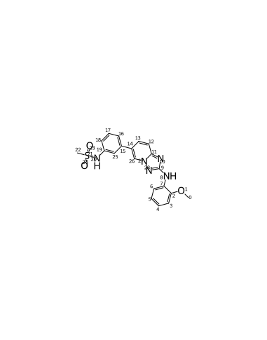 COc1ccccc1Nc1nc2ccc(-c3cccc(NS(C)(=O)=O)c3)cn2n1